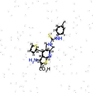 Cc1ccc(NC(=S)N2Cc3nc4sc(C(=O)O)c(N)c4c(-c4cccs4)c3C2)cc1